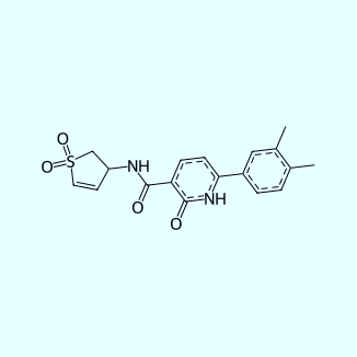 Cc1ccc(-c2ccc(C(=O)NC3C=CS(=O)(=O)C3)c(=O)[nH]2)cc1C